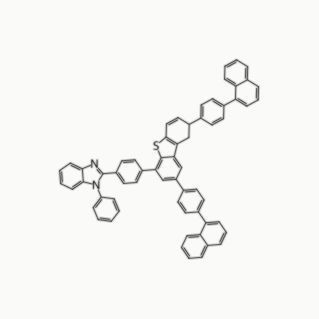 C1=CC(c2ccc(-c3cccc4ccccc34)cc2)Cc2c1sc1c(-c3ccc(-c4nc5ccccc5n4-c4ccccc4)cc3)cc(-c3ccc(-c4cccc5ccccc45)cc3)cc21